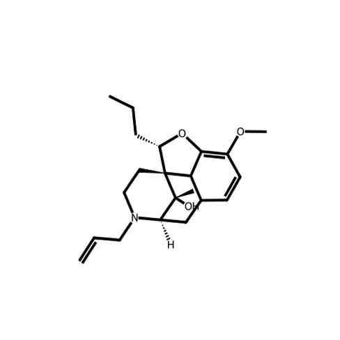 C=CCN1CC[C@@]23C4C(=C(OC)C=CC4C[C@@H]1[C@@]2(C)O)O[C@H]3CCC